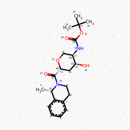 C[C@H]1c2ccccc2CCN1C(=O)[C@H]1C[C@H](O)[C@H](NC(=O)OC(C)(C)C)CO1